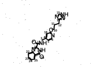 O=C(NCc1ccnc(OCCCc2nc[nH]n2)c1)c1nc2ccccc2c(=O)[nH]1